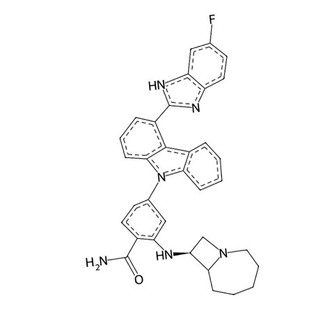 NC(=O)c1ccc(-n2c3ccccc3c3c(-c4nc5ccc(F)cc5[nH]4)cccc32)cc1N[C@H]1CN2CCCCCC12